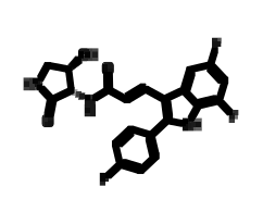 O=C(/C=C/c1c(-c2ccc(F)cc2)[nH]c2c(F)cc(F)cc12)N[C@@H]1C(=O)NC[C@H]1O